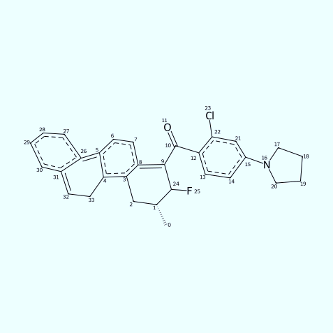 C[C@@H]1Cc2c3c(ccc2=C(C(=O)c2ccc(N4CCCC4)cc2Cl)C1F)=c1ccccc1=CC3